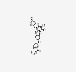 CCn1c(=O)[nH]/c(=N\c2ccc(Oc3ccnc(C(N)=O)c3)cc2)n(Cc2ccc(Cl)cn2)c1=O